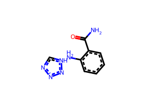 NC(=O)c1ccccc1N.c1nnn[nH]1